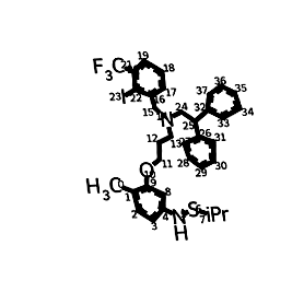 Cc1ccc(NSC(C)C)cc1OCCCN(Cc1cccc(C(F)(F)F)c1I)CC(c1ccccc1)c1ccccc1